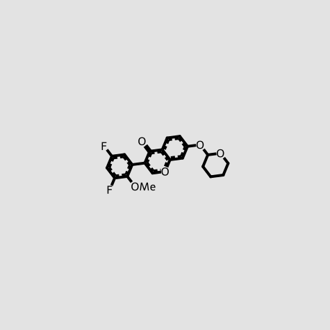 COc1c(F)cc(F)cc1-c1coc2cc(OC3CCCCO3)ccc2c1=O